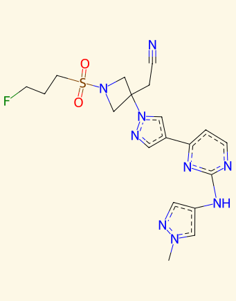 Cn1cc(Nc2nccc(-c3cnn(C4(CC#N)CN(S(=O)(=O)CCCF)C4)c3)n2)cn1